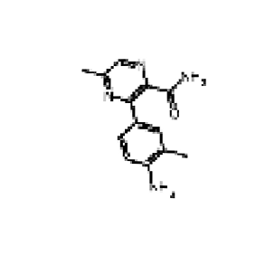 Cc1cnc(C(N)=O)c(-c2ccc(N)c(C)c2)n1